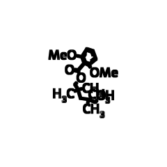 COc1cccc(OC)c1C(=O)OCC(C)(C)CC(C)(C)CO